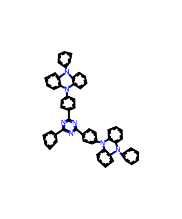 c1ccc(-c2nc(-c3ccc(N4c5ccccc5N(c5ccccc5)c5ccccc54)cc3)nc(-c3ccc(N4c5ccccc5N(c5ccccc5)c5ccccc54)cc3)n2)cc1